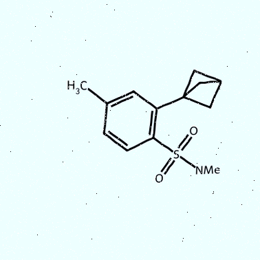 CNS(=O)(=O)c1ccc(C)cc1C12CC(C1)C2